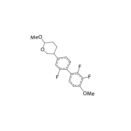 COc1ccc(-c2ccc(C3CCC(OC)OC3)cc2F)c(F)c1F